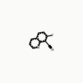 N#Cc1c(F)ccc2cccnc12